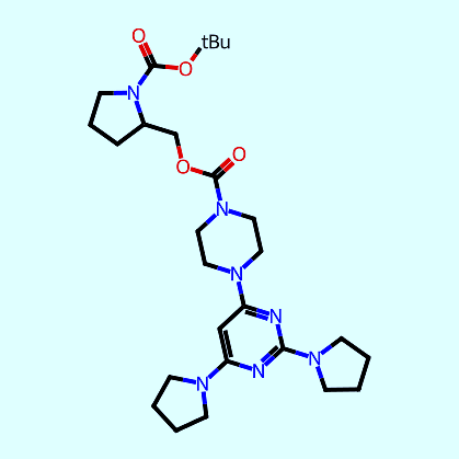 CC(C)(C)OC(=O)N1CCCC1COC(=O)N1CCN(c2cc(N3CCCC3)nc(N3CCCC3)n2)CC1